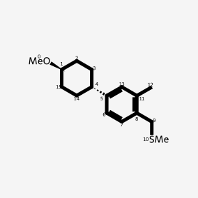 CO[C@H]1CC[C@H](c2ccc(CSC)c(C)c2)CC1